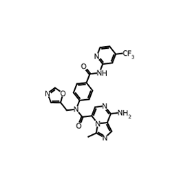 Cc1ncc2c(N)ncc(C(=O)N(Cc3cnco3)c3ccc(C(=O)Nc4cc(C(F)(F)F)ccn4)cc3)n12